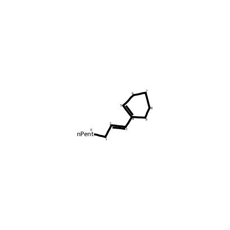 CCCCCCC=CC1=CCCCC1